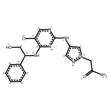 NC(=O)Cn1cc(Nc2ncc(Cl)c(NC(CO)c3ccccc3)n2)cn1